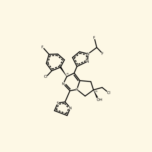 O[C@]1(CCl)CC2=C(c3ccn(C(F)F)n3)[C@H](c3ccc(F)cc3Cl)N=C(c3nccs3)N2C1